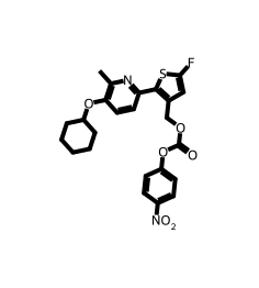 Cc1nc(-c2sc(F)cc2COC(=O)Oc2ccc([N+](=O)[O-])cc2)ccc1OC1CCCCC1